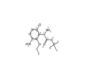 CCOc1c(N)ccc(Cl)c1C(N)C(=O)OC(C)(C)C